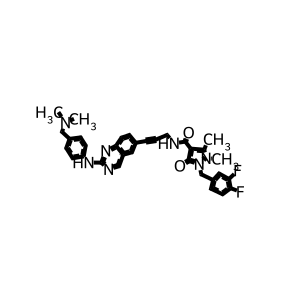 Cc1c(C(=O)NCC#Cc2ccc3nc(Nc4ccc(CN(C)C)cc4)ncc3c2)c(=O)n(Cc2ccc(F)c(F)c2)n1C